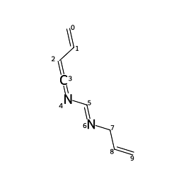 C=CC=C=NC=NCC=C